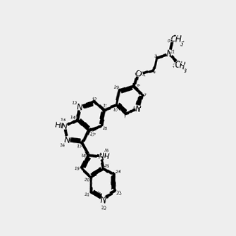 CN(C)CCOc1cncc(-c2cnc3[nH]nc(-c4cc5cnccc5[nH]4)c3c2)c1